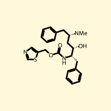 CN[C@@H](Cc1ccccc1)C[C@H](O)[C@H](Cc1ccccc1)NC(=O)OCc1cncs1